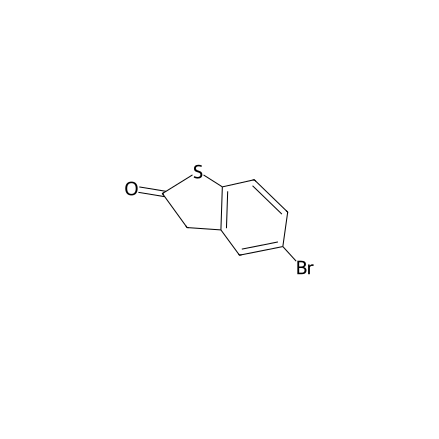 O=C1Cc2cc(Br)ccc2S1